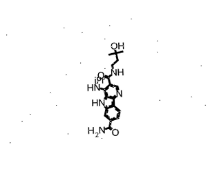 CC(C)Nc1c(C(=O)NCCC(C)(C)O)cnc2c1[nH]c1cc(C(N)=O)ccc12